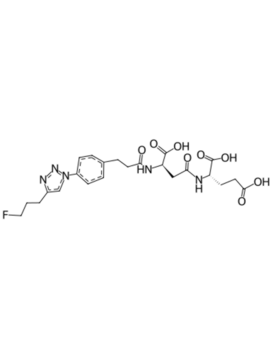 O=C(O)CC[C@H](NC(=O)C[C@@H](NC(=O)CCc1ccc(-n2cc(CCCF)nn2)cc1)C(=O)O)C(=O)O